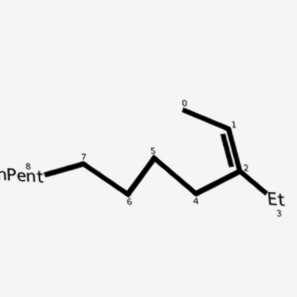 CC=C(CC)CCCCCCCCC